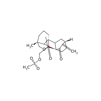 C=C1C(=O)[C@]23CC[C@H]1CC2[C@@]12CCC[C@@](C)(COC1)C2C(COS(C)(=O)=O)C3=O